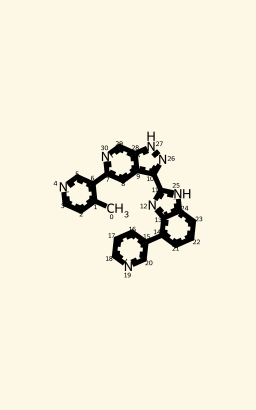 Cc1ccncc1-c1cc2c(-c3nc4c(-c5cccnc5)cccc4[nH]3)n[nH]c2cn1